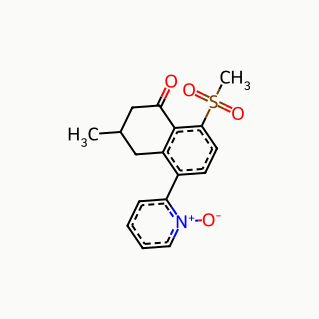 CC1CC(=O)c2c(S(C)(=O)=O)ccc(-c3cccc[n+]3[O-])c2C1